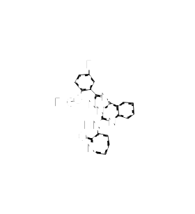 O=c1nccccc1Nc1nc2ccccc2c2nc(-c3cc(F)ccc3OC(F)(F)F)nn12